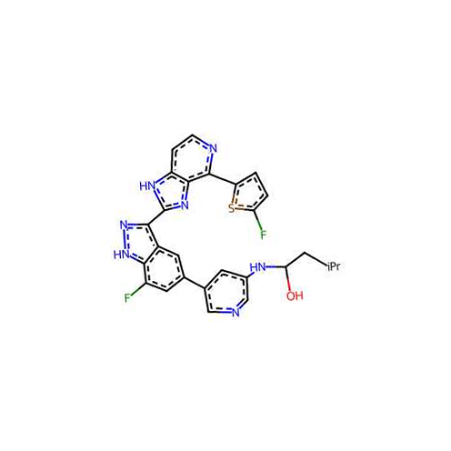 CC(C)CC(O)Nc1cncc(-c2cc(F)c3[nH]nc(-c4nc5c(-c6ccc(F)s6)nccc5[nH]4)c3c2)c1